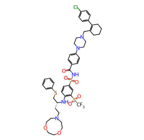 O=C(NS(=O)(=O)c1ccc(N[C@H](CCN2CCOCCOCC2)CSc2ccccc2)c(S(=O)(=O)C(F)(F)F)c1)c1ccc(N2CCN(CC3=C(c4ccc(Cl)cc4)CCCC3)CC2)cc1